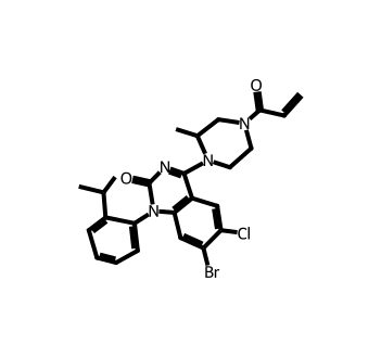 C=CC(=O)N1CCN(c2nc(=O)n(-c3ccccc3C(C)C)c3cc(Br)c(Cl)cc23)C(C)C1